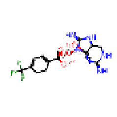 C[C@]1(O)[C@@H](OC(=O)C2=CC=C(C(F)(F)F)CC2)CN2C(=N)NCC3NC(=N)N(O)C321